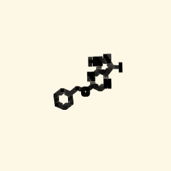 Ic1n[nH]c2nc(OCc3ccccc3)cnc12